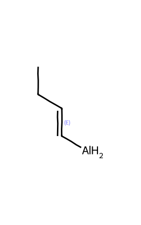 CC/C=[CH]/[AlH2]